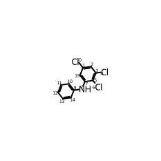 Clc1cc(Cl)c(Cl)c(Nc2ccccc2)c1